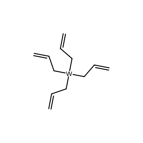 C=C[CH2][W]([CH2]C=C)([CH2]C=C)[CH2]C=C